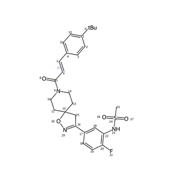 CC(C)(C)c1ccc(/C=C/C(=O)N2CCC3(CC2)CC(c2ccc(F)c(NS(C)(=O)=O)c2)=NO3)cc1